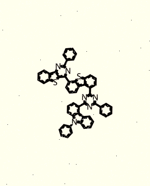 c1ccc(-c2nc(-c3cccc4sc5c(-c6nc(-c7ccccc7)nc7c6sc6ccccc67)cccc5c34)nc(-c3cccc4c3c3ccccc3n4-c3ccccc3)n2)cc1